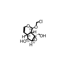 OC[C@]12O[C@H]1[C@@H](O)[C@@H]1C=CO[C@@H](OCCl)[C@@H]12